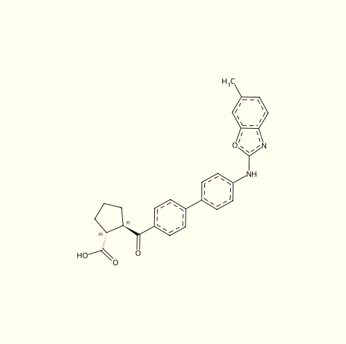 Cc1ccc2nc(Nc3ccc(-c4ccc(C(=O)[C@@H]5CCC[C@H]5C(=O)O)cc4)cc3)oc2c1